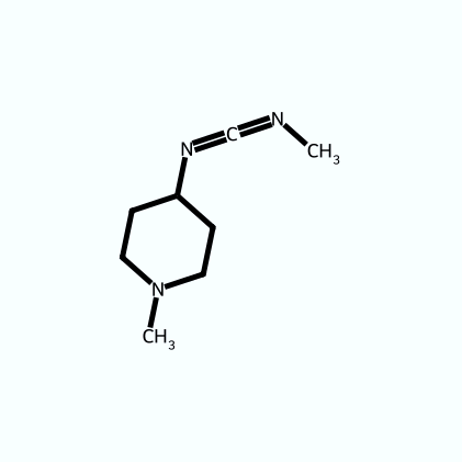 CN=C=NC1CCN(C)CC1